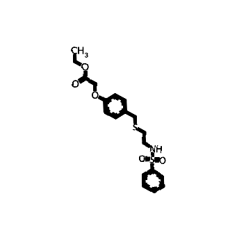 CCOC(=O)COc1ccc(CSCCNS(=O)(=O)c2ccccc2)cc1